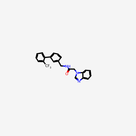 O=C(Cn1cnc2ccccc21)NCc1cccc(-c2ccccc2C(F)(F)F)c1